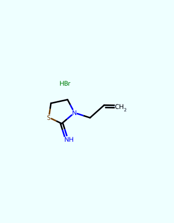 Br.C=CCN1CCSC1=N